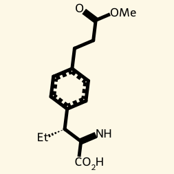 CC[C@@H](C(=N)C(=O)O)c1ccc(CCC(=O)OC)cc1